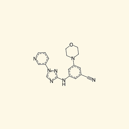 N#Cc1cc(Nc2ncn(-c3cccnc3)n2)cc(N2CCOCC2)c1